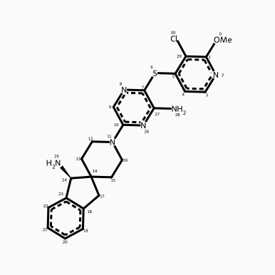 COc1nccc(Sc2ncc(N3CCC4(CC3)Cc3ccccc3[C@H]4N)nc2N)c1Cl